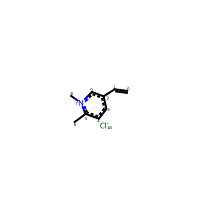 C=Cc1ccc(C)[n+](C)c1.[Cl-]